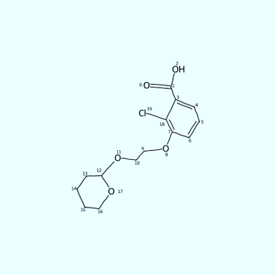 O=C(O)c1cccc(OCCOC2CCCCO2)c1Cl